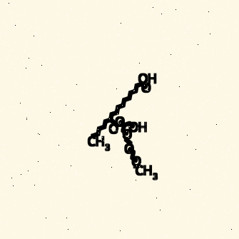 CCCCCCC(CCCCCCCCCC(=O)O)C(=O)OC(CO)COCCOCCOCC